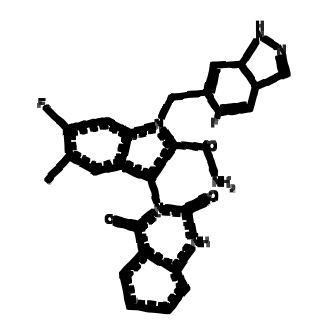 Cc1cc2c(-n3c(=O)[nH]c4ccccc4c3=O)c(C(N)=O)n(CC3=CC4NN=CC4C=C3F)c2cc1F